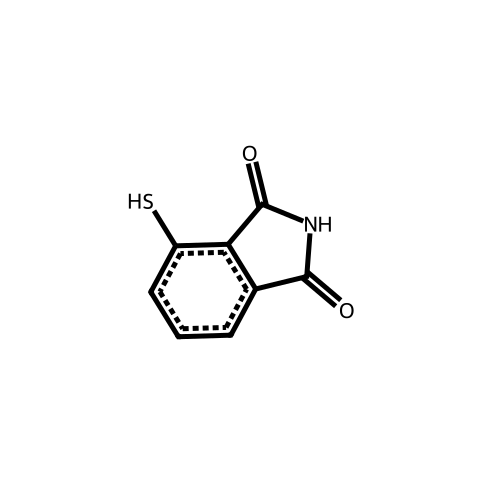 O=C1NC(=O)c2c(S)cccc21